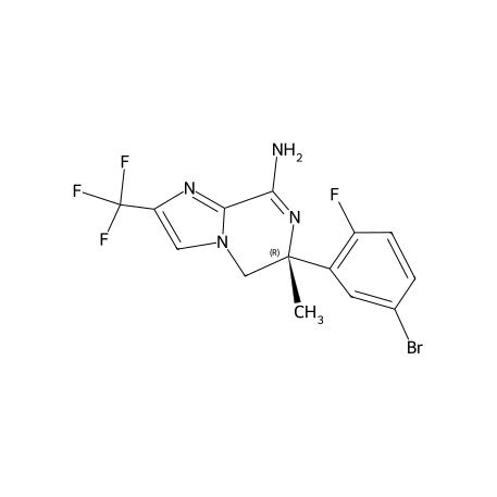 C[C@@]1(c2cc(Br)ccc2F)Cn2cc(C(F)(F)F)nc2C(N)=N1